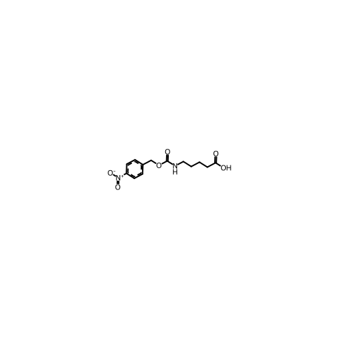 O=C(O)CCCCNC(=O)OCc1ccc([N+](=O)[O-])cc1